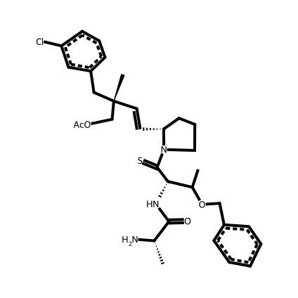 CC(=O)OC[C@@](C)(/C=C/[C@@H]1CCCN1C(=S)[C@@H](NC(=O)[C@H](C)N)C(C)OCc1ccccc1)Cc1cccc(Cl)c1